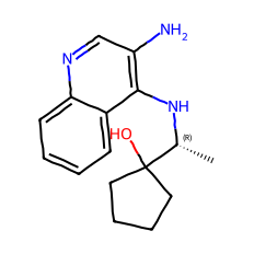 C[C@@H](Nc1c(N)cnc2ccccc12)C1(O)CCCC1